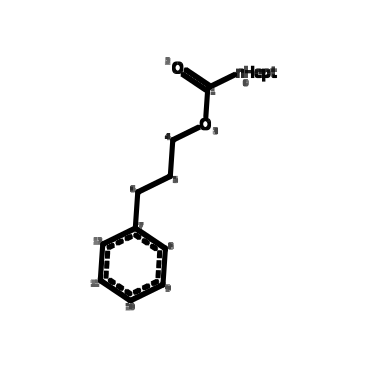 CCCCCCCC(=O)OCCCc1ccccc1